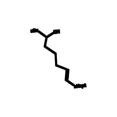 CCCCCCCC=CCCCC(O)CCCC